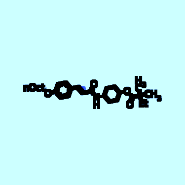 CCCCCCCCOc1ccc(/C=C/C(=O)N[C@H]2CC[C@H](OC(=O)C(C)(C)CC)CC2)cc1